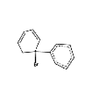 BrC1(c2ccccc2)C=CC=CC1